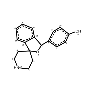 Oc1ccc(C2OC3(CCNCC3)c3ccccc32)cc1